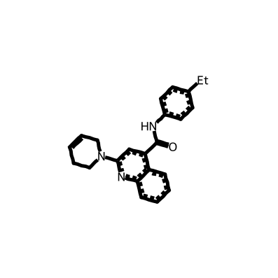 CCc1ccc(NC(=O)c2cc(N3CC=CCC3)nc3ccccc23)cc1